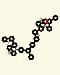 c1ccc(-c2cc(-c3ccc(-c4ccc5sc6c(-c7ccc(N(c8ccccc8-c8cccc(-c9ccccc9)c8)c8cccc9oc%10ccccc%10c89)cc7)cccc6c5c4)cc3)cc(-c3ccc(N(c4ccc(-c5cccc6c5sc5ccccc56)cc4)c4cccc5oc6ccccc6c45)cc3)c2)cc1